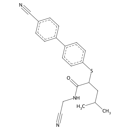 CC(C)CC(Sc1ccc(-c2ccc(C#N)cc2)cc1)C(=O)NCC#N